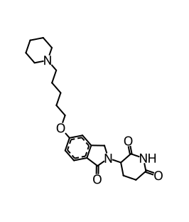 O=C1CCC(N2Cc3cc(OCCCCCN4CCCCC4)ccc3C2=O)C(=O)N1